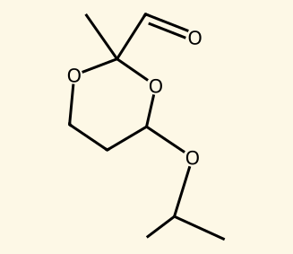 CC(C)OC1CCOC(C)(C=O)O1